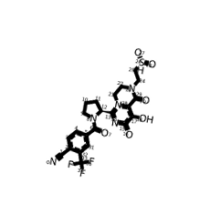 N#Cc1ccc(C(=O)N2CCC[C@H]2c2nc(=O)c(O)c3n2CCN(CC[SH](=O)=O)C3=O)cc1C(F)(F)F